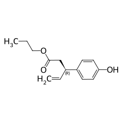 C=C[C@@H](CC(=O)OCCC)c1ccc(O)cc1